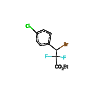 CCOC(=O)C(F)(F)C(Br)c1ccc(Cl)cc1